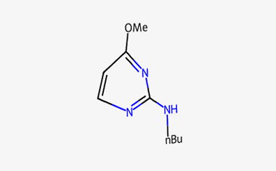 CCCCNc1nccc(OC)n1